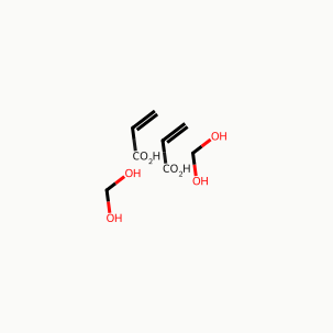 C=CC(=O)O.C=CC(=O)O.OCO.OCO